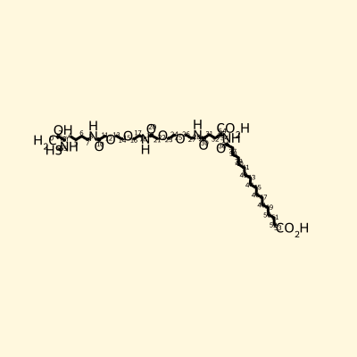 C=C(O)[C@H](CCCCNC(=O)COCCOCCNC(=O)COCCOCCNC(=O)CCC(NC(=O)CCCCCCCCCCCCCCCCC(=O)O)C(=O)O)NS